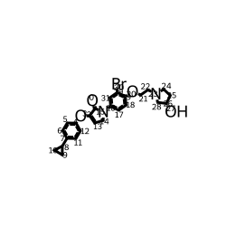 O=C1C(Oc2ccc(C3CC3)cc2)=CCN1c1ccc(OCCN2CC[C@H](O)C2)c(Br)c1